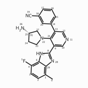 Cc1ccc(F)c2[nH]c(-c3cncc(-c4cccc(C#N)c4)c3N3CC[C@H](N)C3)nc12